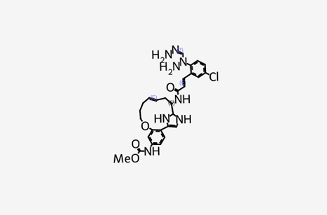 COC(=O)Nc1ccc2c(c1)OCCC/C=C/C[C@H](NC(=O)/C=C/c1cc(Cl)ccc1N(N)/C=N\N)C1NC=C2N1